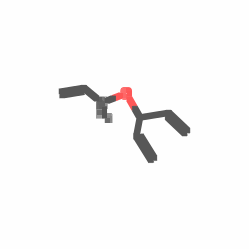 C=C[SiH2]OC(C=C)C=C